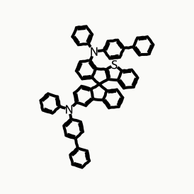 c1ccc(-c2ccc(N(c3ccccc3)c3ccc4c(c3)-c3ccccc3C43c4cccc(N(c5ccccc5)c5ccc(-c6ccccc6)cc5)c4-c4sc5ccccc5c43)cc2)cc1